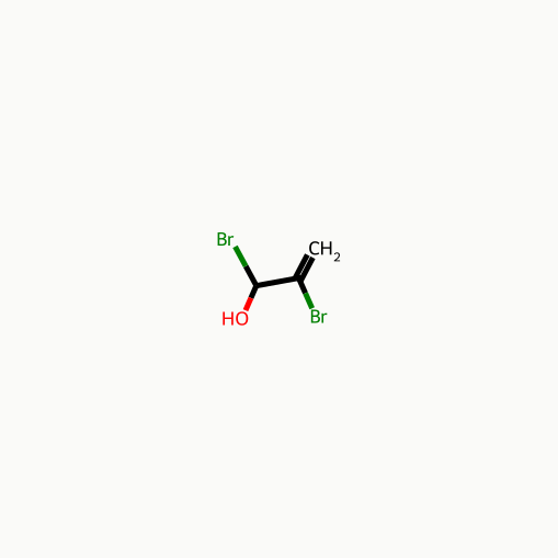 C=C(Br)C(O)Br